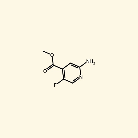 COC(=O)c1cc(N)ncc1F